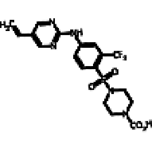 C=Cc1cnc(Nc2ccc(S(=O)(=O)N3CCN(C(=O)O)CC3)c(C(F)(F)F)c2)nc1